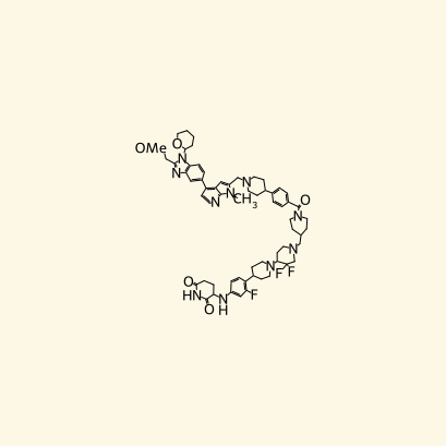 COCc1nc2cc(-c3ccnc4c3cc(CN3CCC(c5ccc(C(=O)N6CCC(CN7CCC(N8CCC(c9ccc(NC%10CCC(=O)NC%10=O)cc9F)CC8)C(F)(F)C7)CC6)cc5)CC3)n4C)ccc2n1C1CCCCO1